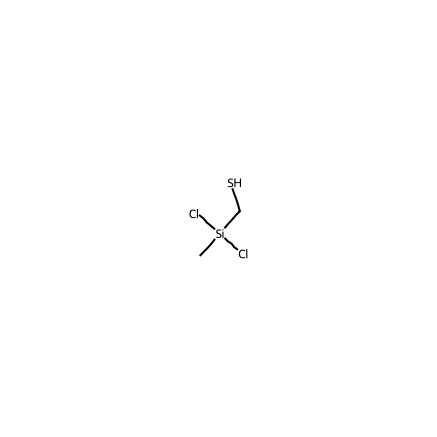 C[Si](Cl)(Cl)CS